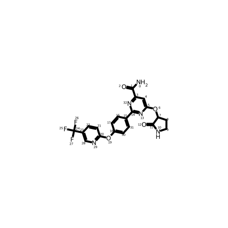 NC(=O)c1cc(OC2CCNC2=O)nc(-c2ccc(Oc3ccc(C(F)(F)F)cn3)cc2)n1